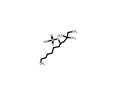 CCCCCCCC(CC(C)(C)CC)OS(=O)(=O)O